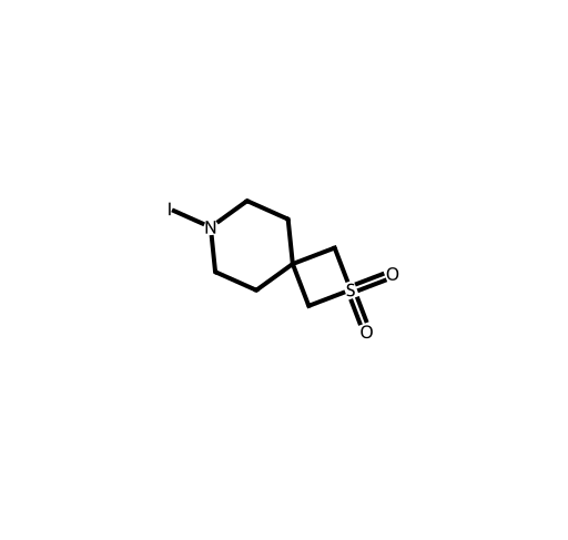 O=S1(=O)CC2(CCN(I)CC2)C1